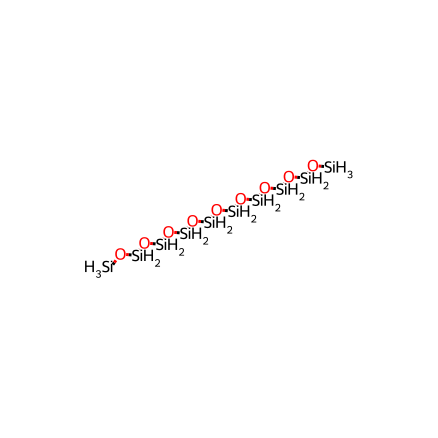 [SiH3]O[SiH2]O[SiH2]O[SiH2]O[SiH2]O[SiH2]O[SiH2]O[SiH2]O[SiH2]O[SiH3]